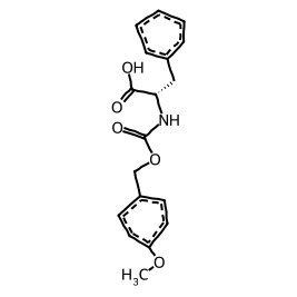 COc1ccc(COC(=O)N[C@@H](Cc2ccccc2)C(=O)O)cc1